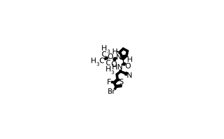 CC(C)(C)OC(=O)N1[C@@H]2CC[C@@H](C2)[C@H]1C(=O)NC(C#N)Cc1scc(Br)c1F